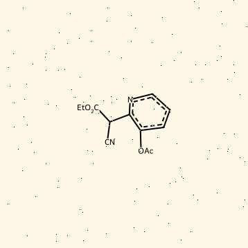 CCOC(=O)C(C#N)c1ncccc1OC(C)=O